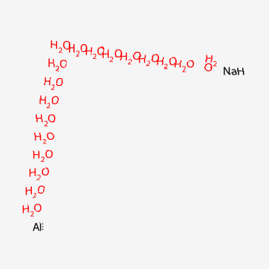 O.O.O.O.O.O.O.O.O.O.O.O.O.O.O.O.O.O.[Al].[NaH]